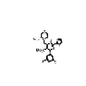 CCOC(=O)C1=C(CN2CCOC[C@H]2C(=O)O)NC(c2nccs2)=N[C@H]1c1cc(F)cc(Cl)c1